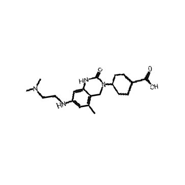 Cc1cc(NCCN(C)C)cc2c1CN(C1CCC(C(=O)O)CC1)C(=O)N2